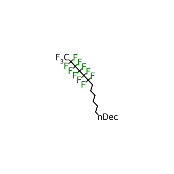 CCCCCCCCCCCCCCCCC(F)(F)C(F)(F)C(F)(F)C(F)(F)C(F)(F)C(F)(F)F